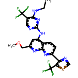 CCNc1nc(Nc2cc(COC)nc3nc(-c4ncsc4C(F)(F)F)ccc23)ncc1C(F)(F)F